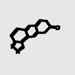 O=C1CC=c2cc3ccc4c(c3cc2C1)C=NN=4